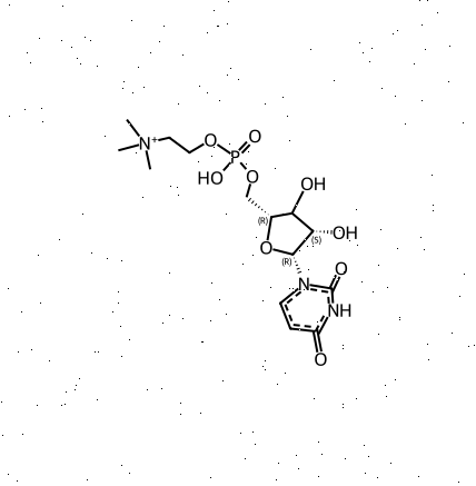 C[N+](C)(C)CCOP(=O)(O)OC[C@H]1O[C@@H](n2ccc(=O)[nH]c2=O)[C@@H](O)C1O